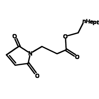 CCCCCCCCOC(=O)CCN1C(=O)C=CC1=O